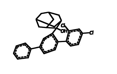 OC1(c2cc(-c3ccccc3)ccc2-c2ccc(Cl)cc2Cl)C2CC3CC(C2)CC1C3